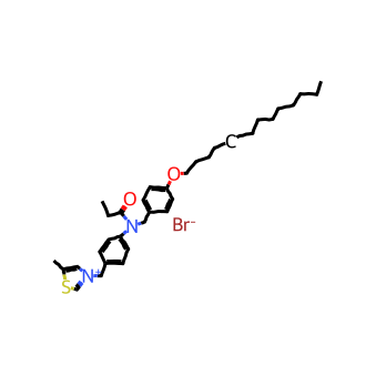 CCCCCCCCCCCCCCOc1ccc(CN(C(=O)CC)c2ccc(C[n+]3csc(C)c3)cc2)cc1.[Br-]